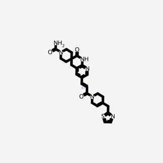 NC(=O)N1CCC2(CC1)Cc1cc(/C=C/C(=O)N3CC=C(Cc4nccs4)CC3)cnc1NC2=O